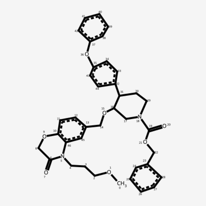 COCCCN1C(=O)COc2ccc(COC3CN(C(=O)OCc4ccccc4)CCC3c3ccc(Oc4ccccc4)cc3)cc21